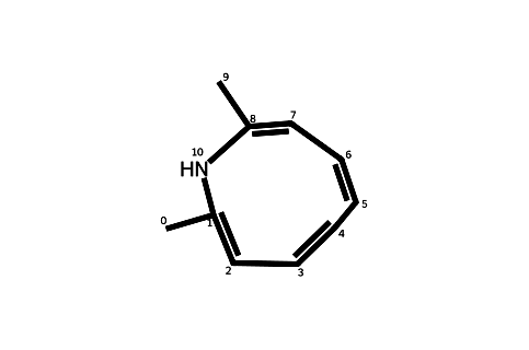 Cc1ccccccc(C)[nH]1